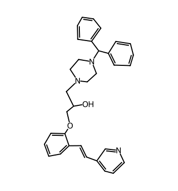 OC(COc1ccccc1C=Cc1cccnc1)CN1CCN(C(c2ccccc2)c2ccccc2)CC1